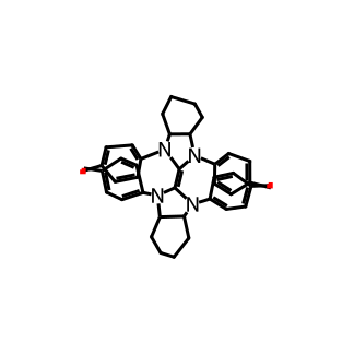 Cc1ccc(N2C(=C3N(c4ccc(C)cc4)C4CCCCC4N3c3ccc(C)cc3)N(c3ccc(C)cc3)C3CCCCC32)cc1